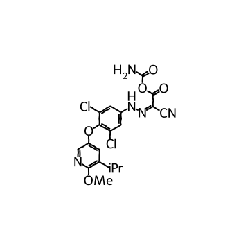 COc1ncc(Oc2c(Cl)cc(NN=C(C#N)C(=O)OC(N)=O)cc2Cl)cc1C(C)C